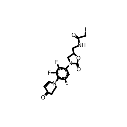 O=C1C=CN(c2c(F)cc(N3CC(CNC(=O)CI)OC3=O)c(F)c2F)CC1